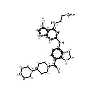 COCCNc1nc(Nc2ccc(C(=O)N3CCC(N4CCOCC4)CC3)c3c2OCO3)nc2[nH]cc(Cl)c12